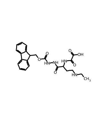 CCNCCC(NC(=O)C(=O)O)C(=O)NNC(=O)OCC1c2ccccc2-c2ccccc21